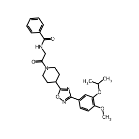 COc1ccc(-c2noc(C3CCN(C(=O)CNC(=O)c4ccccc4)CC3)n2)cc1OC(C)C